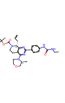 C=CC[C@@H]1c2nc(-c3ccc(NC(=O)NCC)cc3)nc(N3CCOC[C@@H]3C)c2CCN1C(=O)OC(C)(C)C